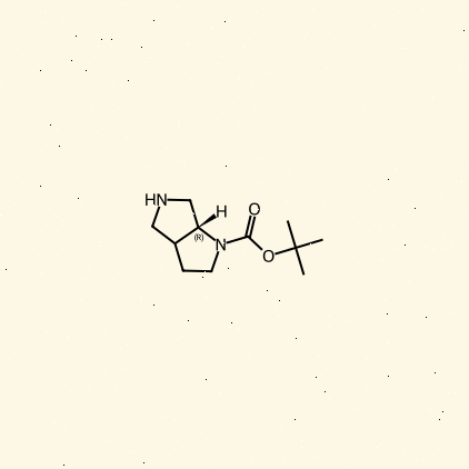 CC(C)(C)OC(=O)N1CCC2CNC[C@@H]21